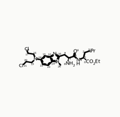 CCOC(=O)[C@H](CC(C)C)NC(=O)[C@@H](N)Cc1nc2cc(N(CCCl)CCCl)ccc2n1C